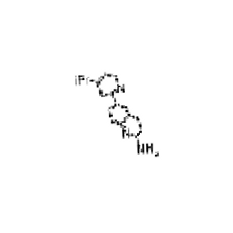 CC(C)c1ccnc(-c2ccc3nc(N)ccc3c2)c1